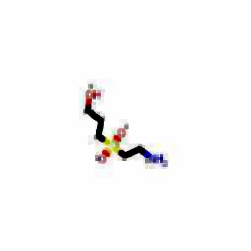 NCCS(=O)(=O)CCCO